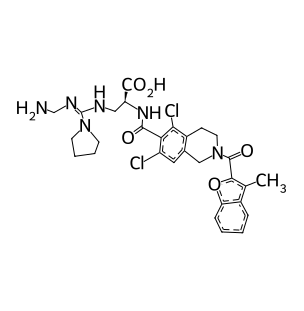 Cc1c(C(=O)N2CCc3c(cc(Cl)c(C(=O)N[C@@H](CN/C(=N/CN)N4CCCC4)C(=O)O)c3Cl)C2)oc2ccccc12